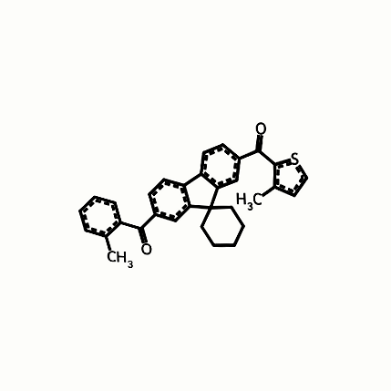 Cc1ccccc1C(=O)c1ccc2c(c1)C1(CCCCC1)c1cc(C(=O)c3sccc3C)ccc1-2